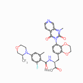 COC(=O)[C@H](Cc1ccc(-n2c(=O)c3ccncc3n(C)c2=O)c2c1OCCO2)NC(=O)c1c(C)cc(N2CCOC[C@@H]2C(F)(F)F)cc1F